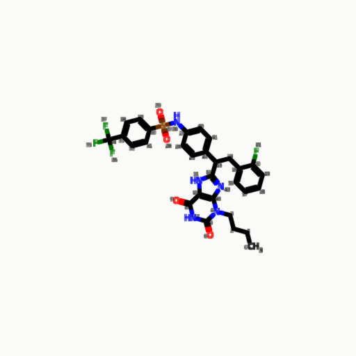 CCCCn1c(=O)[nH]c(=O)c2[nH]c(C(Cc3ccccc3F)c3ccc(NS(=O)(=O)c4ccc(C(F)(F)F)cc4)cc3)nc21